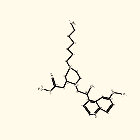 CCCCCCCN1CCN(CC(O)c2ccnc3ccc(OC)cc23)C(CC(=O)OC)C1